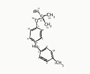 Cc1ccc(Nc2ccc(O[Si](C)(C)C(C)(C)C)cc2)cc1